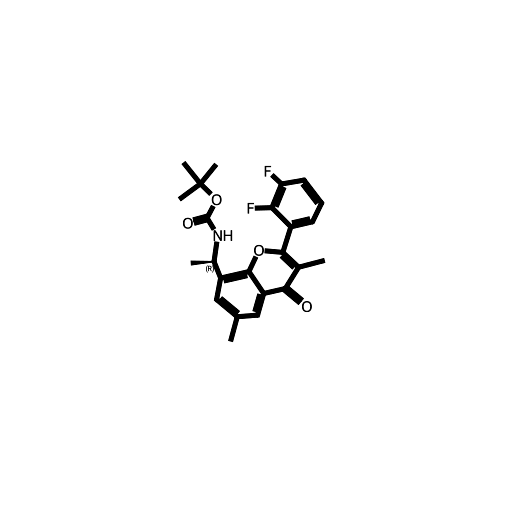 Cc1cc([C@@H](C)NC(=O)OC(C)(C)C)c2oc(-c3cccc(F)c3F)c(C)c(=O)c2c1